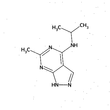 Cc1nc(NC(C)C)c2cn[nH]c2n1